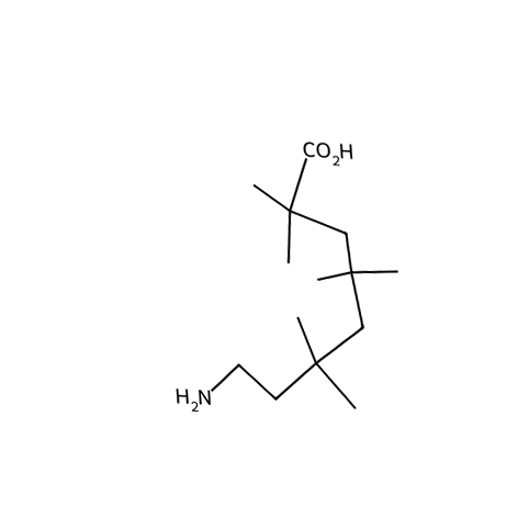 CC(C)(CCN)CC(C)(C)CC(C)(C)C(=O)O